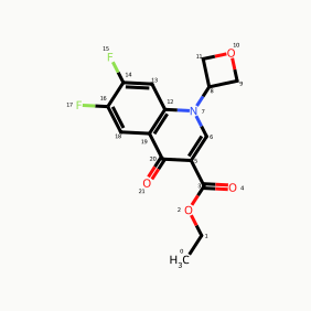 CCOC(=O)c1cn(C2COC2)c2cc(F)c(F)cc2c1=O